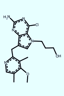 COc1c(C)cnc(Cc2cn(CCCO)c3c(Cl)nc(N)nc23)c1C